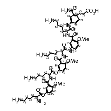 COc1ccc(NC(=O)[C@H](CCCCN)NC(=O)c2cc(OC(=O)[C@H](CCCCN)NC(=O)c3cc(OC(=O)[C@@H](N)CCCCN)ccc3OC)ccc2OC)cc1C(=O)N[C@@H](CCCCN)C(=O)Nc1ccc(OCC(=O)O)c(C(N)=O)c1